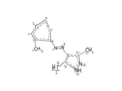 Cc1ccccc1/N=N/c1c(C)n[nH]c1C